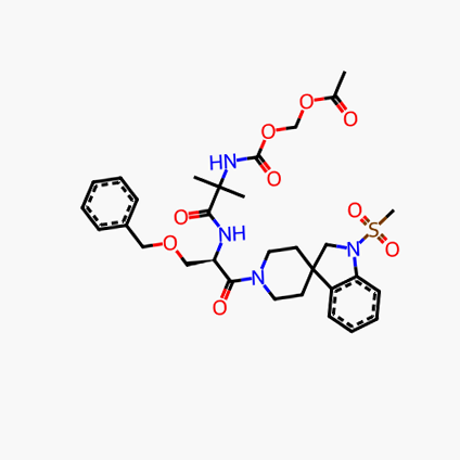 CC(=O)OCOC(=O)NC(C)(C)C(=O)N[C@H](COCc1ccccc1)C(=O)N1CCC2(CC1)CN(S(C)(=O)=O)c1ccccc12